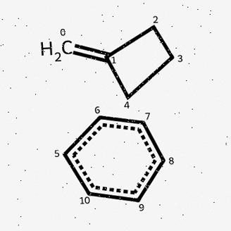 C=C1CCC1.c1ccccc1